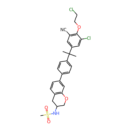 CC(C)(c1ccc(-c2ccc3c(c2)OCC(NS(C)(=O)=O)C3)cc1)c1cc(Cl)c(OCCCl)c(C#N)c1